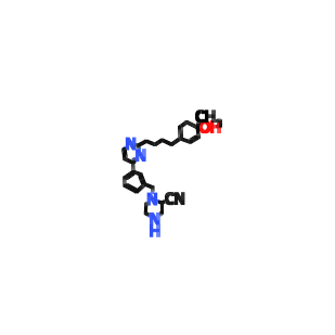 CC1(O)C=CC(CCCCc2nccc(-c3cccc(CN4CCNCC4C#N)c3)n2)=CC1